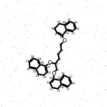 C1=C(OCCCCC(COC2=CCCc3ccccc32)OC2=CCCc3ccccc32)c2ccccc2CC1